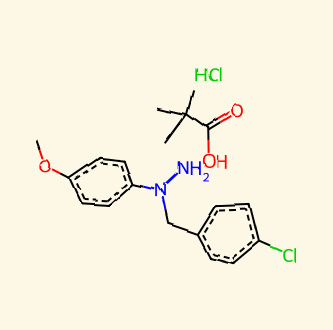 CC(C)(C)C(=O)O.COc1ccc(N(N)Cc2ccc(Cl)cc2)cc1.Cl